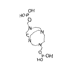 OP(O)OCN1CCN2CCCN(CC1)CCN(COP(O)O)CC2